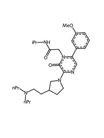 CCCN(CCC)CCC1CCN(c2ncc(-c3cccc(OC)c3)n(CC(=O)NC(C)C)c2=O)C1